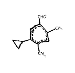 Cc1cc(C)c(C2CC2)cc1C=O